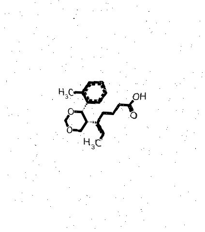 C/C=C(/CCCC(=O)O)[C@@H]1COCO[C@@H]1c1ccccc1C